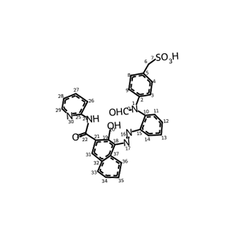 O=CN(c1ccc(CS(=O)(=O)O)cc1)c1ccccc1/N=N/c1c(O)c(C(=O)Nc2ccccn2)cc2ccccc12